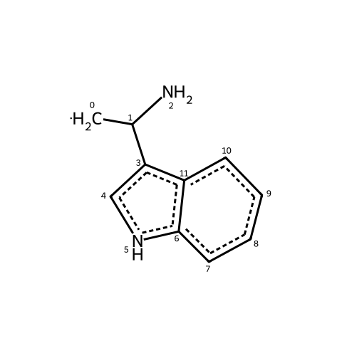 [CH2]C(N)c1c[nH]c2ccccc12